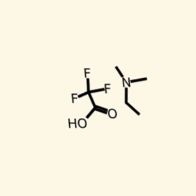 CCN(C)C.O=C(O)C(F)(F)F